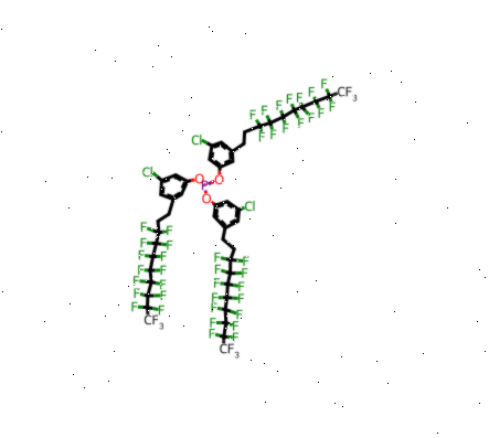 FC(F)(F)C(F)(F)C(F)(F)C(F)(F)C(F)(F)C(F)(F)C(F)(F)C(F)(F)CCc1cc(Cl)cc(OP(Oc2cc(Cl)cc(CCC(F)(F)C(F)(F)C(F)(F)C(F)(F)C(F)(F)C(F)(F)C(F)(F)C(F)(F)F)c2)Oc2cc(Cl)cc(CCC(F)(F)C(F)(F)C(F)(F)C(F)(F)C(F)(F)C(F)(F)C(F)(F)C(F)(F)F)c2)c1